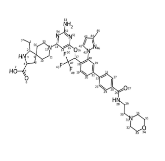 CCC1NC(C(=O)O)CC12CCN(c1cc(O[C@H](c3ccc(-c4ccc(C(=O)NCCN5CCOCC5)cc4)cc3-n3ccc(C)n3)C(F)(F)F)nc(N)n1)CC2